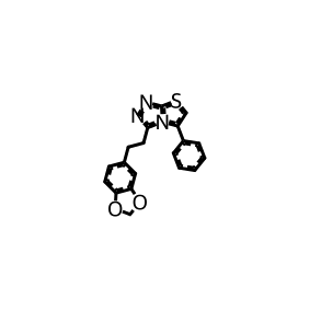 c1ccc(-c2csc3nnc(CCc4ccc5c(c4)OCO5)n23)cc1